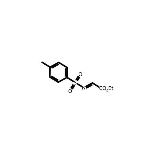 CCOC(=O)/C=N/S(=O)(=O)c1ccc(C)cc1